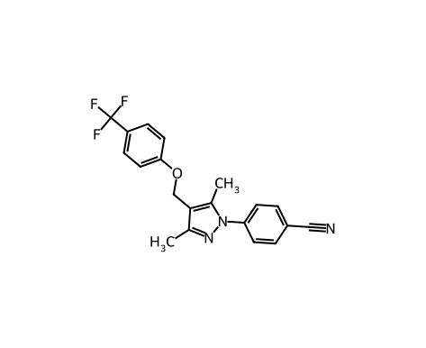 Cc1nn(-c2ccc(C#N)cc2)c(C)c1COc1ccc(C(F)(F)F)cc1